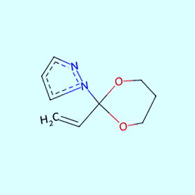 C=CC1(n2cccn2)OCCCO1